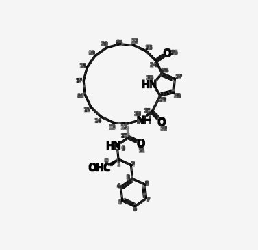 O=C[C@H](Cc1ccccc1)NC(=O)[C@@H]1CCCCCCCCCCCC(=O)c2ccc([nH]2)C(=O)N1